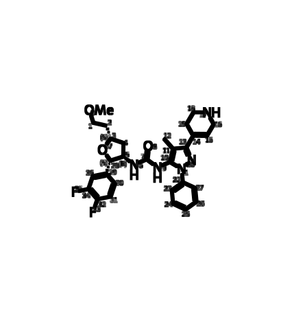 COCC[C@@H]1C[C@@H](NC(=O)Nc2c(C)c(C3=CCNCC3)nn2-c2ccccc2)[C@H](c2ccc(F)c(F)c2)O1